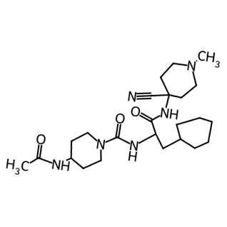 CC(=O)NC1CCN(C(=O)NC(CC2CCCCC2)C(=O)NC2(C#N)CCN(C)CC2)CC1